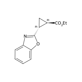 CCOC(=O)[C@@H]1C[C@H]1c1nc2ccccc2o1